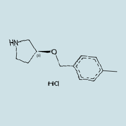 Cc1ccc(CO[C@H]2CCNC2)cc1.Cl